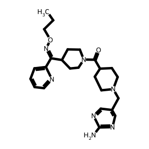 CCCON=C(c1ccccn1)C1CCN(C(=O)C2CCN(Cc3cnc(N)nc3)CC2)CC1